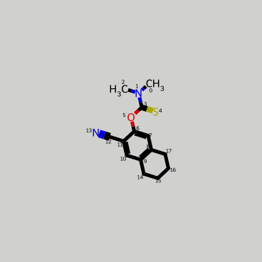 CN(C)C(=S)Oc1cc2c(cc1C#N)CCCC2